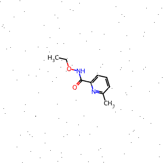 CCONC(=O)c1cccc(C)n1